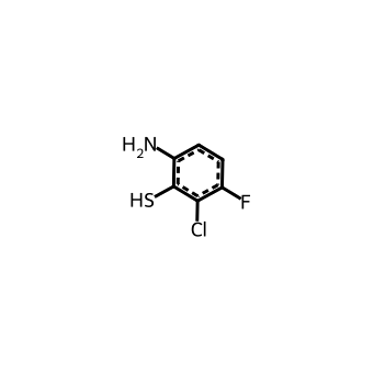 Nc1ccc(F)c(Cl)c1S